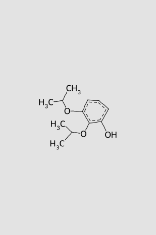 CC(C)Oc1cccc(O)c1OC(C)C